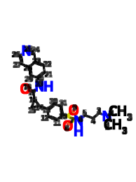 CN(C)CCCNS(=O)(=O)c1ccc(C2CC2C(=O)Nc2ccc3cnccc3c2)cc1